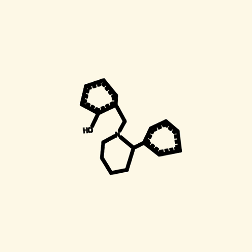 Oc1ccccc1CN1CCCCC1c1ccccc1